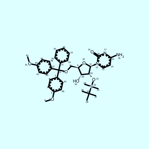 COc1ccc(C(OC[C@H]2O[C@@H](n3ccc(N)nc3=O)[C@H](O[Si](C)(C)C(C)(C)C)[C@@H]2O)(c2ccccc2)c2ccc(OC)cc2)cc1